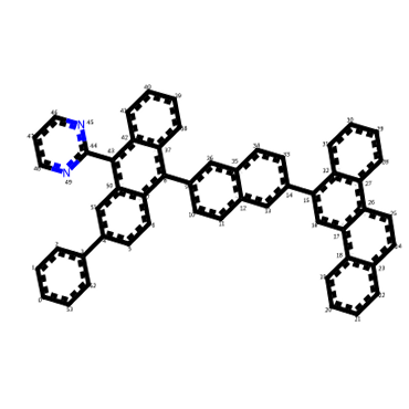 c1ccc(-c2ccc3c(-c4ccc5cc(-c6cc7c8ccccc8ccc7c7ccccc67)ccc5c4)c4ccccc4c(-c4ncccn4)c3c2)cc1